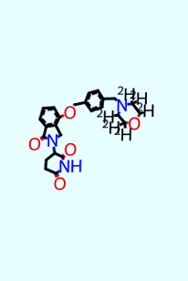 [2H]C1N(Cc2ccc(COc3cccc4c3CN(C3CCC(=O)NC3=O)C4=O)cc2)C([2H])([2H])C([2H])OC1([2H])[2H]